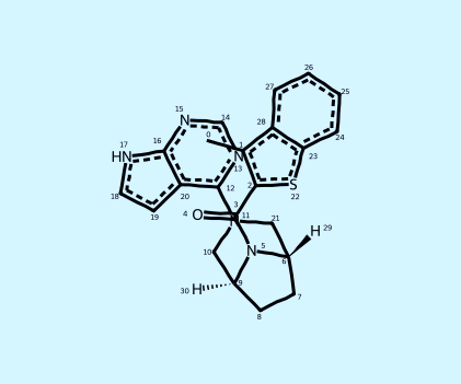 Cc1c(C(=O)N2[C@H]3CC[C@H]2CN(c2ncnc4[nH]ccc24)C3)sc2ccccc12